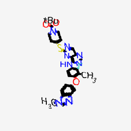 Cc1c(Oc2ccc3c(c2)ncn3C)ccc(Nc2ncnc3cnc(SC4CCN(C(=O)OC(C)(C)C)CC4)nc23)c1F